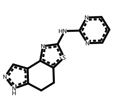 c1cnc(Nc2nc3c(s2)CCc2[nH]ncc2-3)nc1